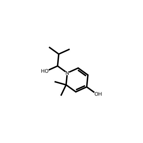 CC(C)C(O)N1C=CC(O)=CC1(C)C